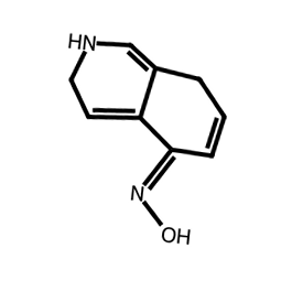 ON=C1C=CCC2=CNCC=C21